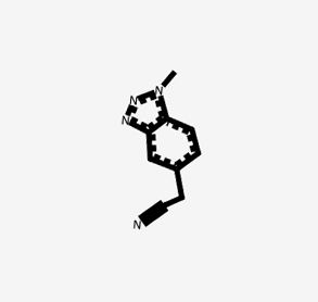 Cn1nnc2cc(CC#N)ccc21